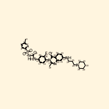 Cc1ccc(S(=O)(=O)NC(=O)Nc2ccc(-n3c(C)nc4cc(NCCCN5CCCCC5)ccc4c3=O)c(F)c2)s1